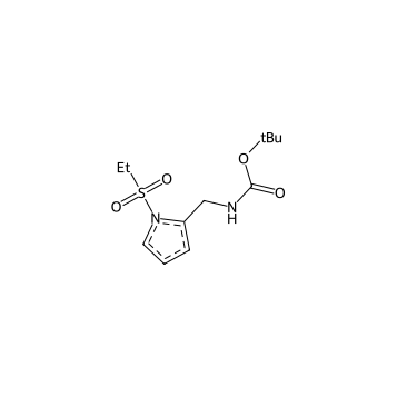 CCS(=O)(=O)n1cccc1CNC(=O)OC(C)(C)C